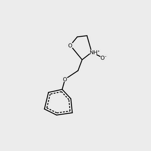 [O-][NH+]1CCOC1COc1ccccc1